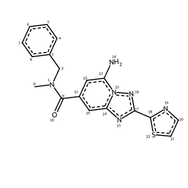 CN(Cc1ccccc1)C(=O)c1cc(N)n2nc(-c3nccs3)nc2c1